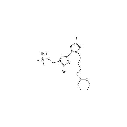 Cc1cc(-c2nc(Br)c(CO[Si](C)(C)C(C)(C)C)s2)n(CCCOC2CCCCO2)n1